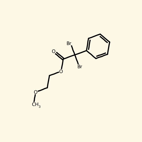 COCCOC(=O)C(Br)(Br)c1ccccc1